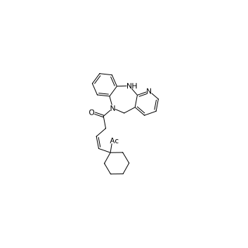 CC(=O)C1(/C=C\CC(=O)N2Cc3cccnc3Nc3ccccc32)CCCCC1